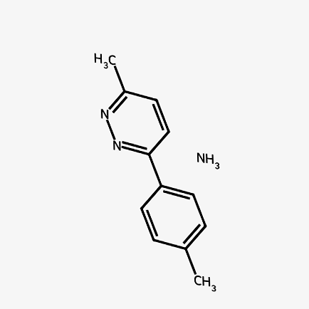 Cc1ccc(-c2ccc(C)nn2)cc1.N